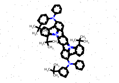 CC(C)(C)c1cccc(N(c2ccccc2)c2ccc3c4cc5c(cc4n4c6c(C(C)(C)C)cccc6c2c34)c2ccc(N(c3ccccc3)c3cccc(C(C)(C)C)c3)c3c4cccc(C(C)(C)C)c4n5c23)c1